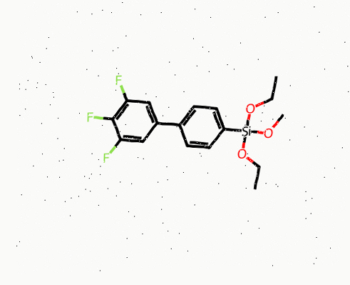 CCO[Si](OC)(OCC)c1ccc(-c2cc(F)c(F)c(F)c2)cc1